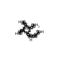 NS(=O)(=O)c1ccc2c3nc4nc(nc5[nH]c(nc6nc(nc([nH]3)c2c1)-c1ccc(S(=O)(=O)O)cc1-6)c1ccc(S(=O)(=O)O)cc51)-c1ccc(S(=O)(=O)Nc2ccc(S(=O)(=O)CCOS(=O)O)cc2)cc1-4